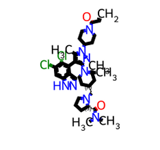 C=CC(=O)N1CCC(n2nc(N3CC[C@@H](CN4CCC[C@H]4C(=O)N(C)C)CC3(C)C)c(-c3c(Cl)c(Cl)cc4[nH]ncc34)c2C)CC1